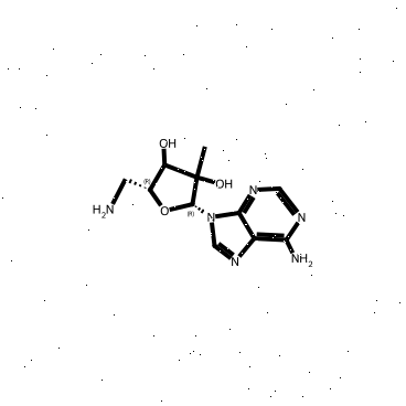 CC1(O)C(O)[C@@H](CN)O[C@H]1n1cnc2c(N)ncnc21